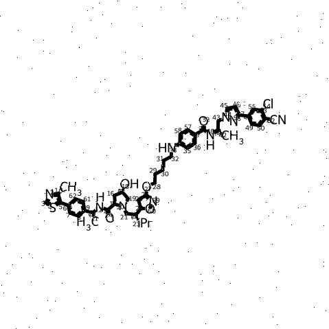 Cc1ncsc1-c1ccc([C@H](C)NC(=O)C2C[C@@H](O)CN2C[C@H](C(C)C)C2CC(OCCCCCNc3ccc(C(=O)N[C@@H](C)Cn4ccc(-c5ccc(C#N)c(Cl)c5)n4)cc3)=NO2)cc1